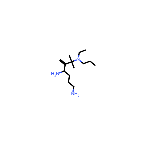 C=C(C(N)CCCN)C(C)(C)N(CC)CCC